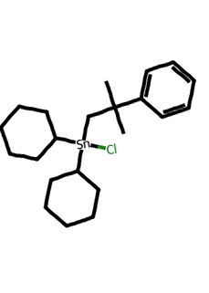 CC(C)([CH2][Sn]([Cl])([CH]1CCCCC1)[CH]1CCCCC1)c1ccccc1